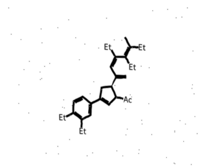 C=C(/C=C(CC)\C(CC)=C(/C)CC)[C@@H]1CC(c2ccc(CC)c(CC)c2)=CC1C(C)=O